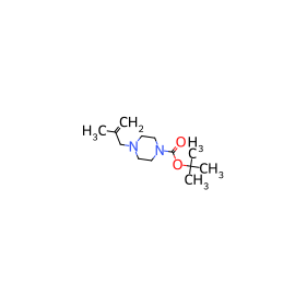 C=C(C)CN1CCN(C(=O)OC(C)(C)C)CC1